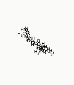 C=CC1=C(N(C)ON(C)C(=O)OC(C)(C)C)NC(=O)[C@]12Cc1cc(C(=O)N[C@H](Cc3cc(C)c4[nH]ncc4c3)C(=O)O)cnc1C2